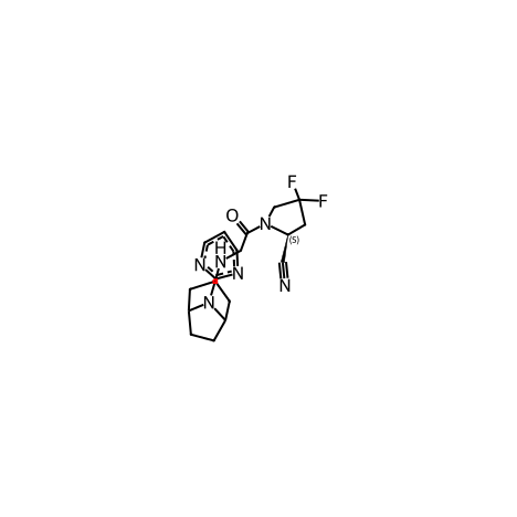 N#C[C@@H]1CC(F)(F)CN1C(=O)CNC1CC2CCC(C1)N2c1ncccn1